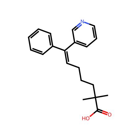 CC(C)(CCC/C=C(/c1ccccc1)c1cccnc1)C(=O)O